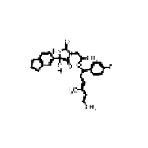 CCC/C(C)=C/CC(OC(C)CN1C(=O)NC(C)(c2ccc3c(c2)CCC3)C1=O)c1ccc(F)cc1